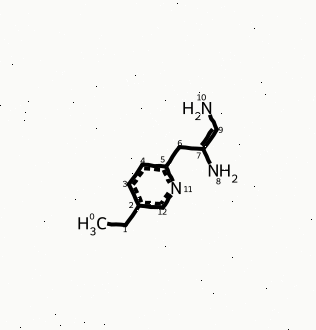 CCc1ccc(C/C(N)=C\N)nc1